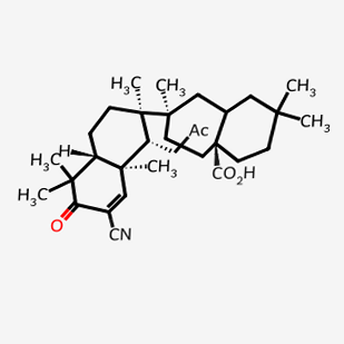 CC(=O)C[C@@H]1[C@@]2(C)C=C(C#N)C(=O)C(C)(C)[C@@H]2CC[C@@]1(C)[C@]1(C)CC[C@@]2(C(=O)O)CCC(C)(C)CC2C1